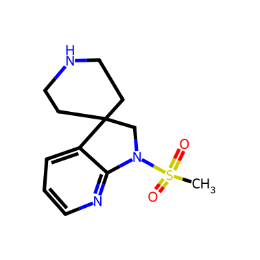 CS(=O)(=O)N1CC2(CCNCC2)c2cccnc21